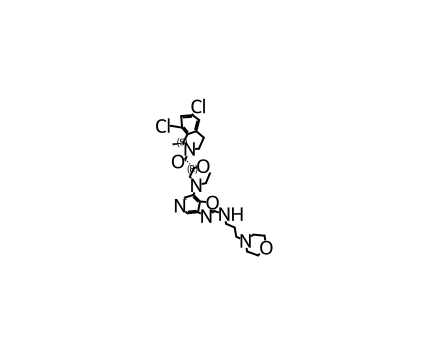 C[C@H]1c2c(Cl)cc(Cl)cc2CCN1C(=O)[C@H]1CN(c2cncc3nc(NCCCN4CCOCC4)oc23)CCO1